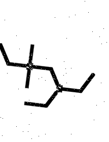 CC[Si](CC)C[Si](C)(C)CC